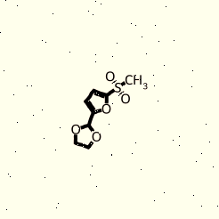 CS(=O)(=O)c1ccc(C2OCCO2)o1